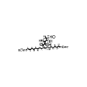 CCCCCCCCCCCCCCCCCCN(CCCCCCCCCCCCCCCCCC)C(=O)C(O)C(O)C(O)C(=O)C=O